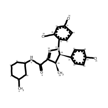 CC1CCCC(NC(=O)C2=NN(c3ccc(Cl)cc3Cl)[C@@H](c3ccc(Cl)cc3)[C@H]2C)C1